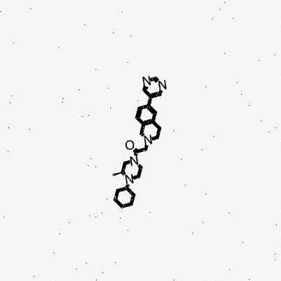 C[C@H]1CN(C(=O)CN2CCc3cc(-c4cncnc4)ccc3C2)CCN1C1CCCCC1